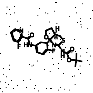 CC(C)(C)OC(=O)NC1=N[C@@]2(C3CC(NC(=O)c4ncccc4F)=CC=C3F)OCC[C@H]2CS1